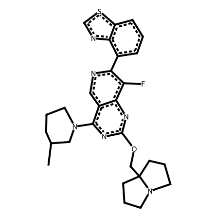 CC1CCCN(c2nc(OCC34CCCN3CCC4)nc3c(F)c(-c4cccc5scnc45)ncc23)C1